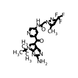 Cc1cc(C(F)(F)F)nn1CC(=O)Nc1cncc(C(=O)c2cn(C(C)(C)C)c3nc(N)ncc23)c1